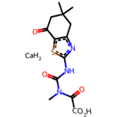 CN(C(=O)Nc1nc2c(s1)C(=O)CC(C)(C)C2)C(=O)C(=O)O.[CaH2]